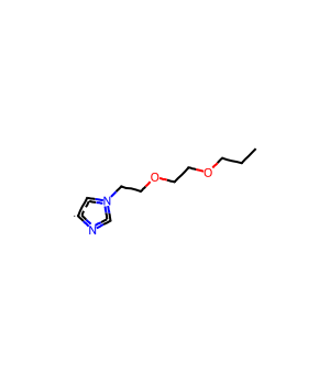 CCCOCCOCCn1c[c]nc1